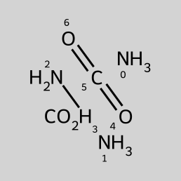 N.N.NC(=O)O.O=C=O